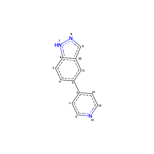 c1cc(-c2ccc3[nH]ncc3c2)ccn1